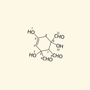 O=CC1C(O)(C=O)C=C(O)CC1(O)C=O